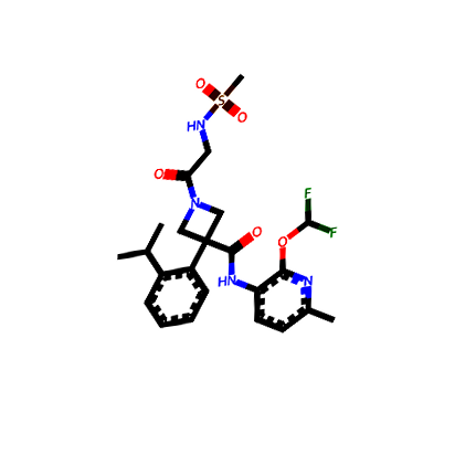 Cc1ccc(NC(=O)C2(c3ccccc3C(C)C)CN(C(=O)CNS(C)(=O)=O)C2)c(OC(F)F)n1